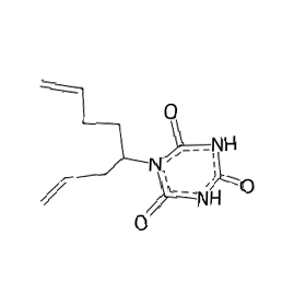 C=CCCC(CC=C)n1c(=O)[nH]c(=O)[nH]c1=O